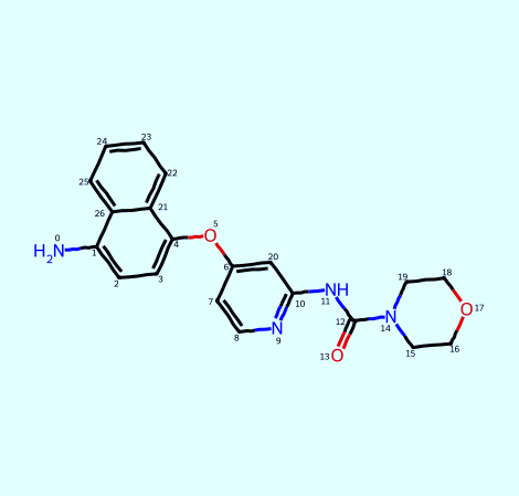 Nc1ccc(Oc2ccnc(NC(=O)N3CCOCC3)c2)c2ccccc12